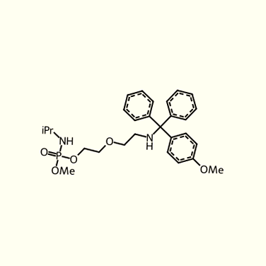 COc1ccc(C(NCCOCCOP(=O)(NC(C)C)OC)(c2ccccc2)c2ccccc2)cc1